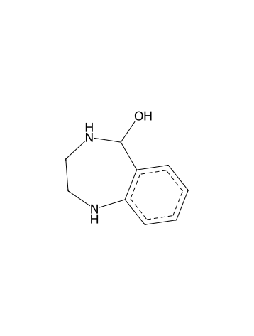 OC1NCCNc2ccccc21